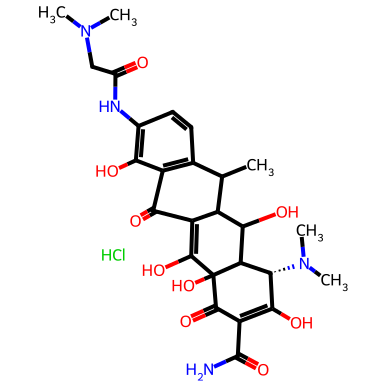 CC1c2ccc(NC(=O)CN(C)C)c(O)c2C(=O)C2=C(O)C3(O)C(=O)C(C(N)=O)=C(O)[C@@H](N(C)C)C3C(O)C21.Cl